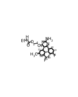 CCNC(=O)OCCOc1nc(N)nc(-c2ccc(F)cc2)c1-c1cc(C)nc(C(F)F)c1